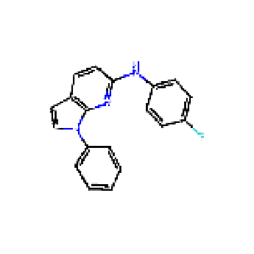 Fc1ccc(Nc2ccc3ccn(-c4ccccc4)c3n2)cc1